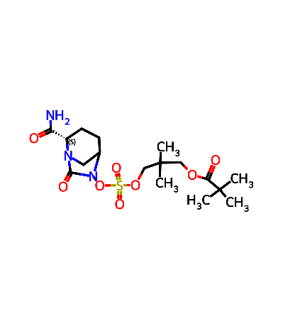 CC(C)(COC(=O)C(C)(C)C)COS(=O)(=O)ON1C(=O)N2CC1CC[C@H]2C(N)=O